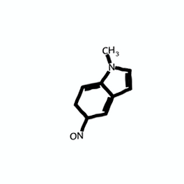 Cn1ccc2c1=CCC(N=O)C=2